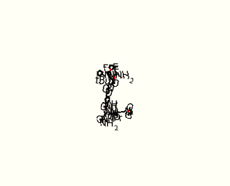 CC(C)[C@H](NC(=O)CCCCCN1C(=O)C=CC1=O)C(=O)N[C@@H](CCCNC(N)=O)C(=O)Nc1ccc(COC(=O)OCC(=O)N(CC[C@H](N)CF)[C@@H](c2nc(-c3cc(F)ccc3F)cn2Cc2ccccc2)C(C)(C)C)cc1